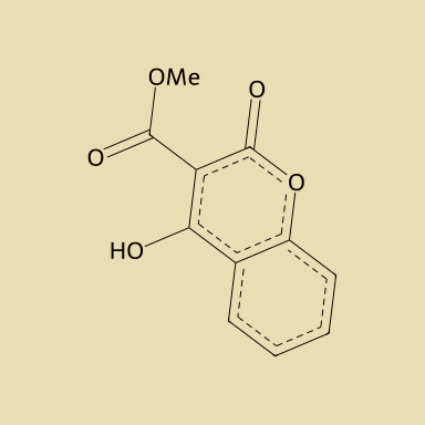 COC(=O)c1c(O)c2ccccc2oc1=O